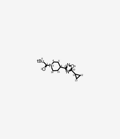 CC(C)(C)C(=O)N1CCC(c2noc(C3CC3)n2)CC1